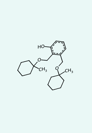 CC1(OCc2cccc(O)c2COC2(C)CCCCC2)CCCCC1